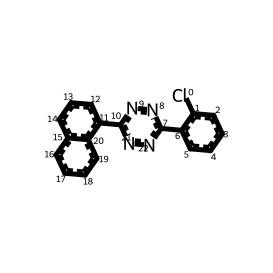 Clc1ccccc1-c1nnc(-c2cccc3ccccc23)nn1